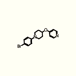 Brc1ccc(N2CCC(Oc3ccncc3)CC2)cc1